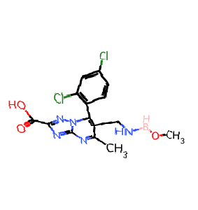 COBNCc1c(C)nc2nc(C(=O)O)nn2c1-c1ccc(Cl)cc1Cl